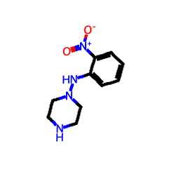 O=[N+]([O-])c1ccccc1NN1CCNCC1